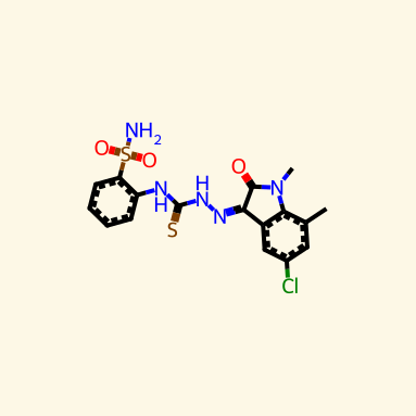 Cc1cc(Cl)cc2c1N(C)C(=O)C2=NNC(=S)Nc1ccccc1S(N)(=O)=O